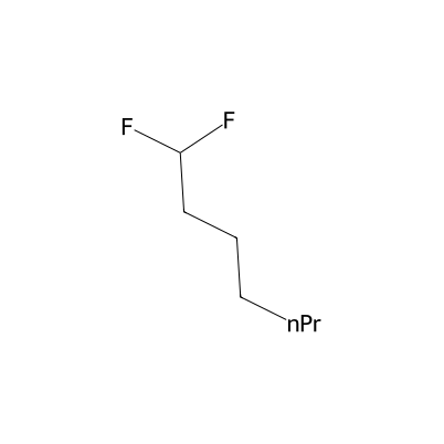 [CH2]CCCCCC(F)F